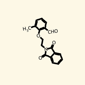 Cc1cccc(C=O)c1OCCN1C(=O)c2ccccc2C1=O